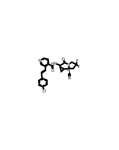 N#C[C@]1(C2CC2)CC(F)(F)CN1C(=O)CNC(=O)c1ccncc1/C=C/c1ccc(Cl)cc1